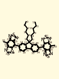 CCCCCCC1(CCCCCC)c2cc(-c3c4c(c(C)c5nsnc35)N=S=N4)ccc2-c2ccc(-c3c4c(c(C)c5nsnc35)N=S=N4)cc21